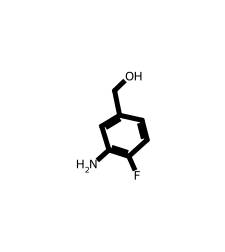 Nc1cc(CO)ccc1F